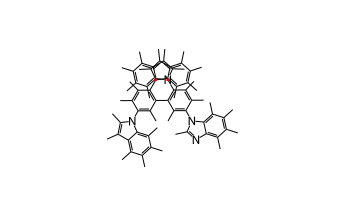 CC1=C(C)C(c2c(C)c(C)c(-n3c(C)c(C)c4c(C)c(C)c(C)c(C)c43)c(C)c2-c2c(C)c(-n3c(C)nc4c(C)c(C)c(C)c(C)c43)c(C)c(C)c2-n2c(C)c(C)c3c(C)c(C)c(C)c(C)c32)c2c(C)c(C)c(C)c(C)c21